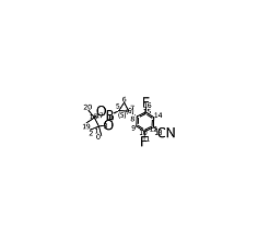 CC1(C)OB([C@H]2C[C@@H]2c2cc(F)c(C#N)cc2F)OC1(C)C